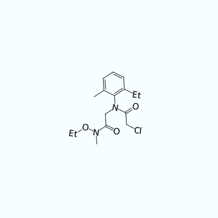 CCON(C)C(=O)CN(C(=O)CCl)c1c(C)cccc1CC